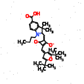 CCCC[N+]1=C(C=C2C(=O)C(C=C3C=C(C(C)(C)C)OC(C(C)(C)C)=C3)=C2[O-])C(C)(C)c2cc(C(=O)O)ccc21